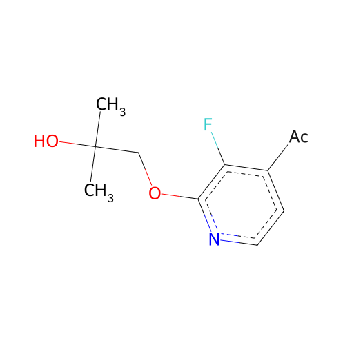 CC(=O)c1ccnc(OCC(C)(C)O)c1F